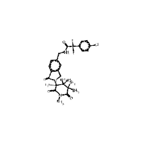 BN1C(=O)C(B)(B)C(B)(B)C(B)(N2Cc3cc(CNC(=O)C(F)(F)c4ccc(Cl)cc4)ccc3C2=O)C1=O